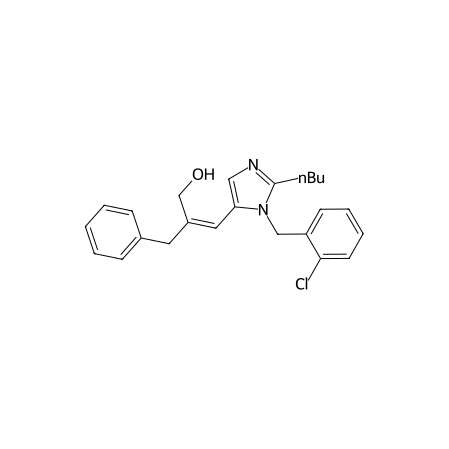 CCCCc1ncc(C=C(CO)Cc2ccccc2)n1Cc1ccccc1Cl